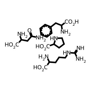 N=C(N)NCCCC(N)C(=O)O.NC(=O)CC(N)C(=O)O.NC(Cc1ccccc1)C(=O)O.O=C(O)C1CCCN1